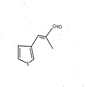 CC(C=O)=Cc1ccsc1